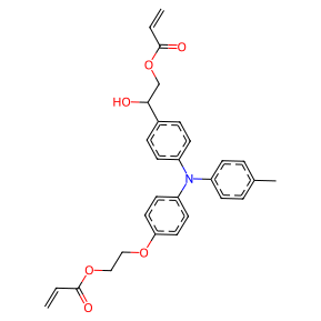 C=CC(=O)OCCOc1ccc(N(c2ccc(C)cc2)c2ccc(C(O)COC(=O)C=C)cc2)cc1